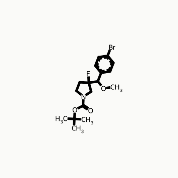 COC(c1ccc(Br)cc1)C1(F)CCN(C(=O)OC(C)(C)C)C1